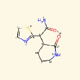 NC(=O)C(c1nccs1)C1CCCNC1=O